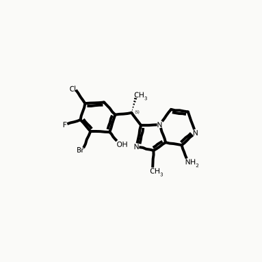 Cc1nc([C@@H](C)c2cc(Cl)c(F)c(Br)c2O)n2ccnc(N)c12